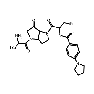 CC(C)CC(NC(=O)c1ccc(N2CCCC2)cc1)C(=O)N1CCC2C1C(=O)CN2C(=O)C(N)C(C)(C)C